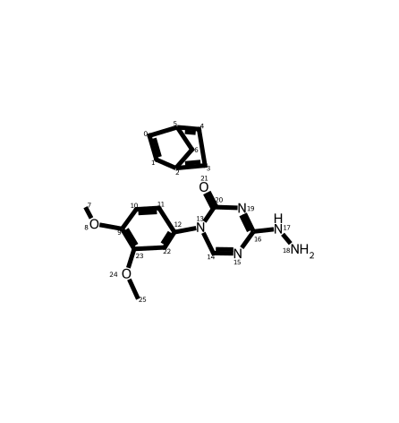 C1=CC2=CC=C1C2.COc1ccc(-n2cnc(NN)nc2=O)cc1OC